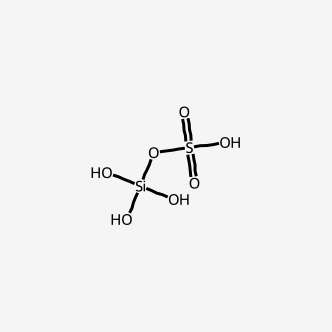 O=S(=O)(O)O[Si](O)(O)O